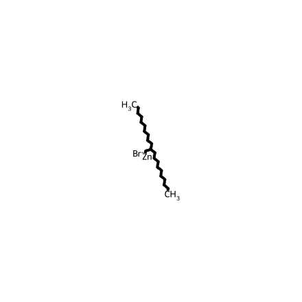 CCCCCCCCCCC([CH2][Zn+])CCCCCCCCCC.[Br-]